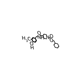 Cc1cc(CNC(=O)C2CCN(C(=O)OCC3CCCCC3)CC2)ccc1O